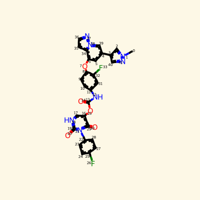 Cn1cc(-c2cc(Oc3ccc(NC(=O)Oc4c[nH]c(=O)n(-c5ccc(F)cc5)c4=O)cc3F)c3ccnn3c2)cn1